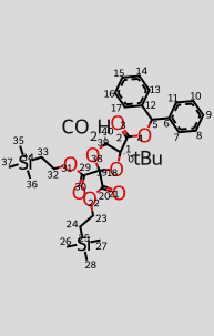 CC(C)(C)[C@]1(C(=O)OC(c2ccccc2)c2ccccc2)OC(C(=O)OCC[Si](C)(C)C)(C(=O)OCC[Si](C)(C)C)O[C@@H]1C(=O)O